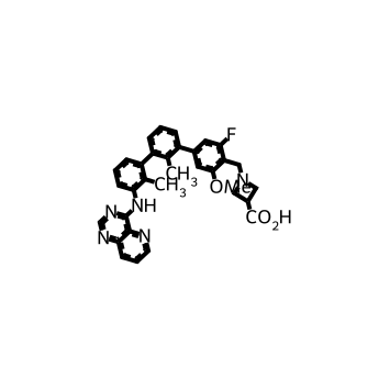 COc1cc(-c2cccc(-c3cccc(Nc4ncnc5cccnc45)c3C)c2C)cc(F)c1CN1CC(C(=O)O)C1